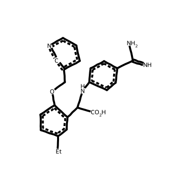 CCc1ccc(OCc2cccnc2)c(C(Nc2ccc(C(=N)N)cc2)C(=O)O)c1